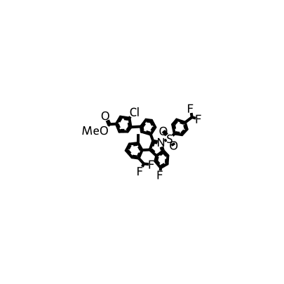 COC(=O)c1ccc(-c2cccc(-c3c(-c4c(C)cccc4C(F)F)c4cc(F)ccc4n3S(=O)(=O)c3ccc(C(F)F)cc3)c2)c(Cl)c1